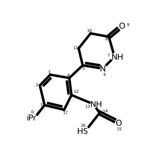 CC(C)c1ccc(C2=NNC(=O)CC2)c(NC(=O)S)c1